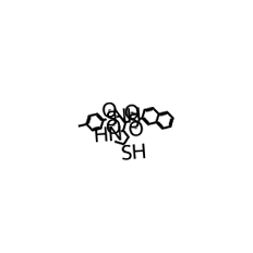 Cc1ccc(S(=O)(=O)NC(C2CC(S)CN2)S(=O)(=O)c2ccc3ccccc3c2)cc1